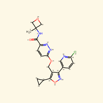 CC1(NC(=O)c2ccc(OCc3c(-c4ccc(Cl)nc4)noc3C3CC3)nn2)COC1